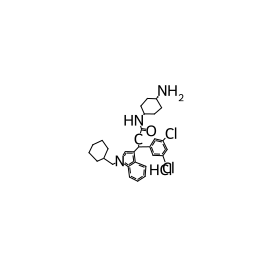 Cl.N[C@H]1CC[C@H](NC(=O)CC(c2cc(Cl)cc(Cl)c2)c2cn(CC3CCCCC3)c3ccccc23)CC1